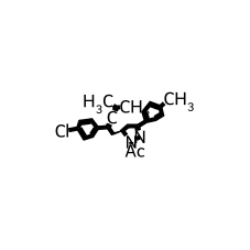 CC(=O)N1N=C(c2ccc(C)cc2)C[C@@H]1CC(=C=C(C)C)c1ccc(Cl)cc1